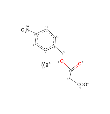 O=C([O-])CC(=O)OCc1ccc([N+](=O)[O-])cc1.[Mg+]